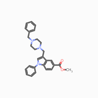 COC(=O)c1ccc2c(c1)c(CN1CCN(Cc3ccccc3)CC1)cn2-c1ccccc1